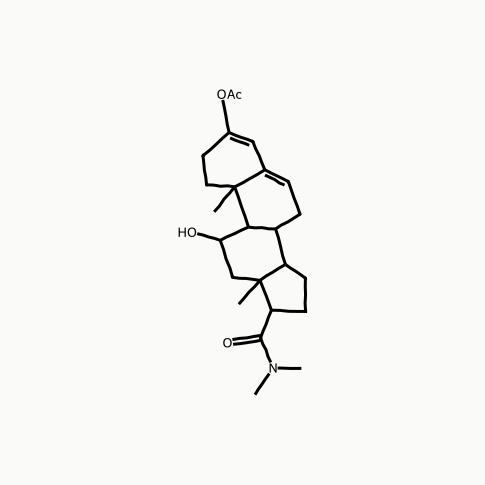 CC(=O)OC1=CC2=CCC3C(C(O)CC4(C)C(C(=O)N(C)C)CCC34)C2(C)CC1